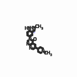 CN/C=C1/C=C(n2cnc3ncc(C4CCN(C)CC4)cc3c2=O)C=CC1=N